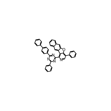 c1ccc(-c2ccc(-c3nc(-c4ccccc4)nc(-c4ncc(-c5ccccc5)c5oc6cc7ccccc7cc6c45)n3)cc2)cc1